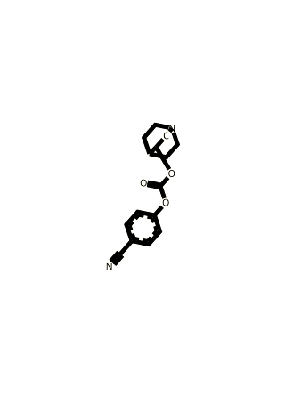 N#Cc1ccc(OC(=O)OC2CN3CCC2CC3)cc1